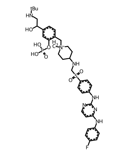 CC(C)(C)NCC(O)c1ccc(C[N+]2(C)CCC(NCS(=O)(=O)c3ccc(Nc4nccc(Nc5ccc(F)cc5)n4)cc3)CC2)c(OP(=O)(O)O)c1